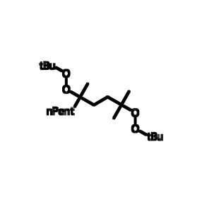 CCCCCC(C)(CCC(C)(C)OOC(C)(C)C)OOC(C)(C)C